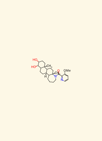 COc1cccnc1C(=O)N1CCCCC2[C@@H]3CCC4[C@@H](O)[C@@H](O)CC[C@]4(C)C3CC[C@@]21C